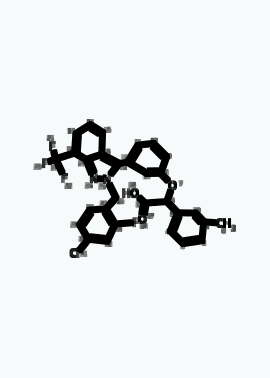 Cc1cccc(C(Oc2cccc(-c3c4cccc(C(F)(F)F)c4nn3Cc3ccc(Cl)cc3F)c2)C(=O)O)c1